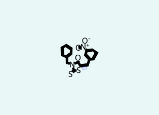 O=C1/C(=C\c2cccc([N+](=O)[O-])c2)SC(=S)N1Cc1ccccc1